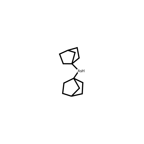 C1CC2([AsH]C34CCC(CC3)C4)CCC1C2